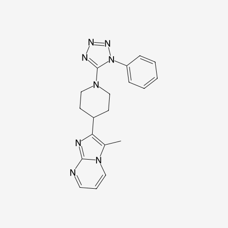 Cc1c(C2CCN(c3nnnn3-c3ccccc3)CC2)nc2ncccn12